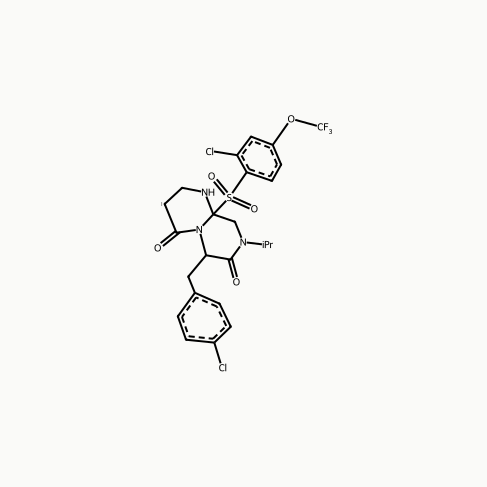 CC(C)N1CC2(S(=O)(=O)c3ccc(OC(F)(F)F)cc3Cl)NC[C]C(=O)N2C(Cc2ccc(Cl)cc2)C1=O